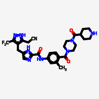 Cc1cc(NC(=O)c2ncc(Cc3c(C(F)(F)F)n[nH]c3CC#N)[nH]2)ccc1C(=O)N1CCN(C(=O)C2CCNCC2)CC1